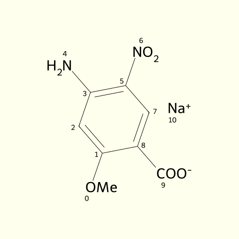 COc1cc(N)c([N+](=O)[O-])cc1C(=O)[O-].[Na+]